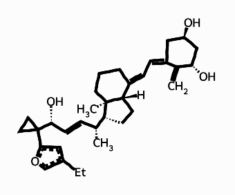 C=C1/C(=C\C=C2/CCC[C@]3(C)[C@@H]([C@H](C)/C=C/[C@@H](O)C4(c5cc(CC)co5)CC4)CC[C@@H]23)C[C@@H](O)C[C@@H]1O